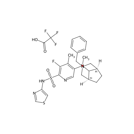 Cc1c(N(C)C2[C@@H]3CC[C@H]2CN(Cc2ccccc2)C3)cnc(S(=O)(=O)Nc2cscn2)c1F.O=C(O)C(F)(F)F